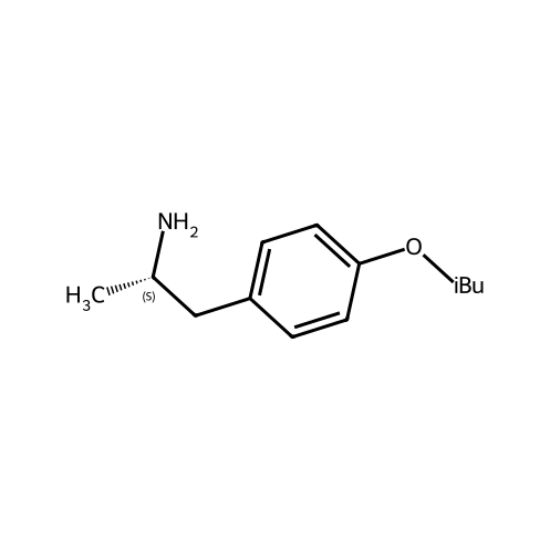 CCC(C)Oc1ccc(C[C@H](C)N)cc1